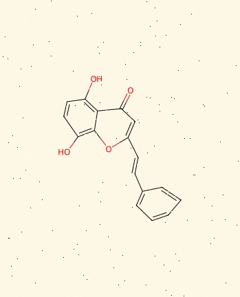 O=c1cc(C=Cc2ccccc2)oc2c(O)ccc(O)c12